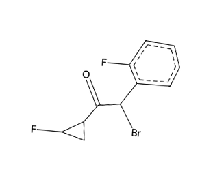 O=C(C(Br)c1ccccc1F)C1CC1F